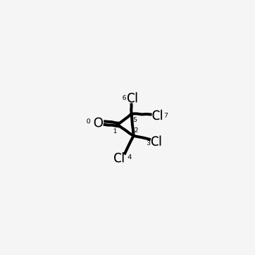 O=C1C(Cl)(Cl)C1(Cl)Cl